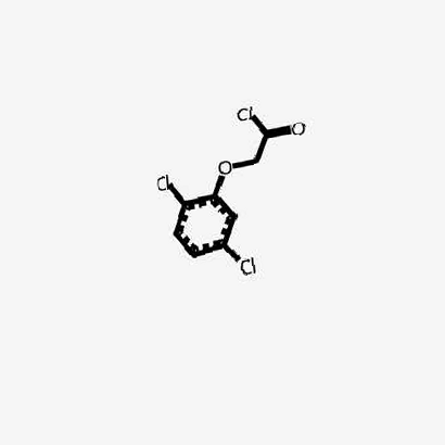 O=C(Cl)COc1cc(Cl)ccc1Cl